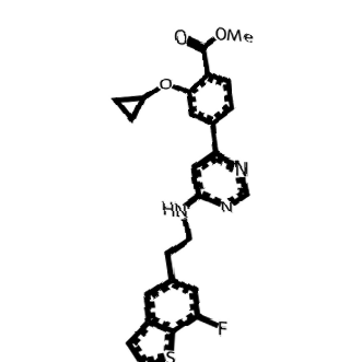 COC(=O)c1ccc(-c2cc(NCCc3cc(F)c4sccc4c3)ncn2)cc1OC1CC1